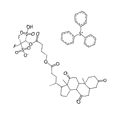 CC(CCC(=O)OCCCC(=O)OC(C(F)(F)S(=O)(=O)[O-])S(=O)(=O)O)C1CCC2C3C(=O)CC4CC(=O)CCC4(C)C3CC(=O)C12C.c1ccc([S+](c2ccccc2)c2ccccc2)cc1